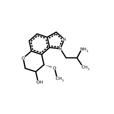 CO[C@H]1c2c(ccc3cnn(CC(C)N)c23)OCC1O